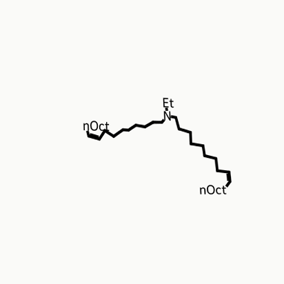 [CH2]CN(CCCCCCCC/C=C\CCCCCCCC)CCCCCCCC/C=C\CCCCCCCC